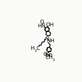 CCCCCCN(NCCc1ccc(S(C)(=O)=O)cc1)C1CCc2cc(O)c(NC=O)cc2C1